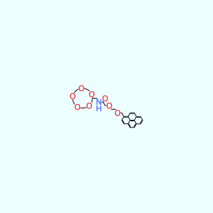 O=C(COCCOCc1ccc2ccc3cccc4ccc1c2c34)NCC1COCCOCCOCCOCCO1